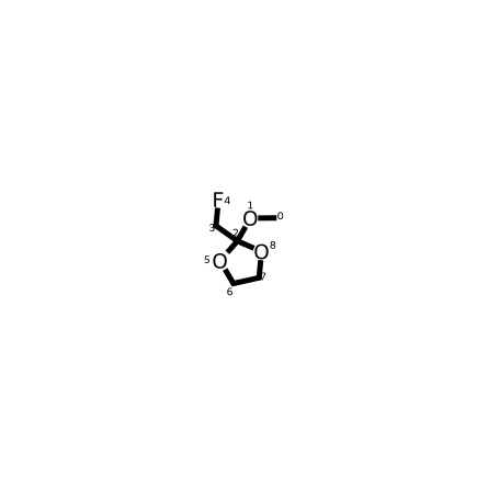 COC1(CF)OCCO1